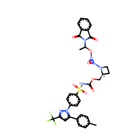 Cc1ccc(-c2cc(C(F)(F)F)nn2-c2ccc(S(=O)(=O)NC(=O)OC[C@@H]3CCN3n3on3OC(C)N3C(=O)c4ccccc4C3=O)cc2)cc1